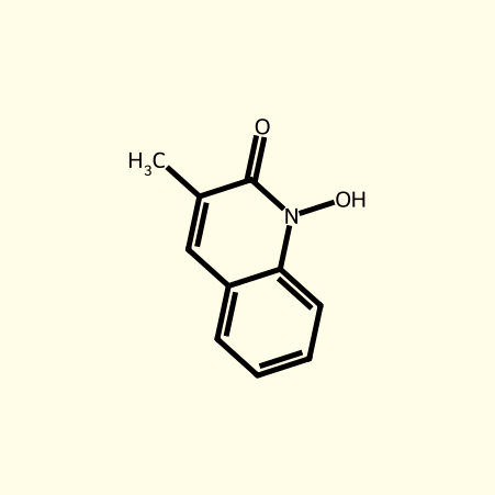 Cc1cc2ccccc2n(O)c1=O